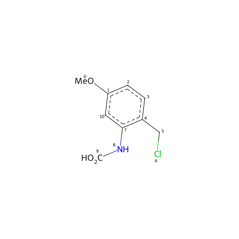 COc1ccc(CCl)c(NC(=O)O)c1